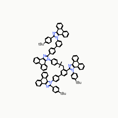 CC(C)(C)c1ccc(-c2nc3c4ccccc4c4ccccc4c3n2-c2ccc(-c3ccc(-c4nc5c6ccccc6c6ccccc6c5n4-c4ccc(C(C)(C)C)cc4)c(CC(C)(C)c4ccc(-n5c(-c6ccc(-c7cccc(-n8c(-c9ccc(C(C)(C)C)cc9)nc9c%10ccccc%10c%10ccccc%10c98)c7)cc6)nc6c7ccccc7c7ccccc7c65)cc4)c3)cc2)cc1